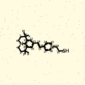 CC1(C)CCN2CCC(C)(C)c3cc(/C=C/c4cc[n+](CCS)cc4)cc1c32